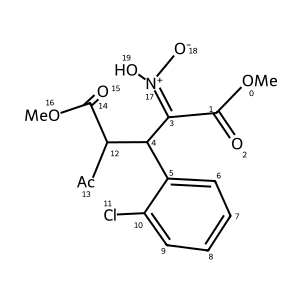 COC(=O)C(C(c1ccccc1Cl)C(C(C)=O)C(=O)OC)=[N+]([O-])O